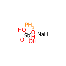 P.[NaH].[O]=[Sb]([OH])([OH])[OH]